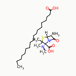 C=N[C@@]1(C(=O)O)N2C(=O)C[C@H]2SC1(C)C.CCCCCCCCCCCCCCCCCC(=O)O.[AlH3]